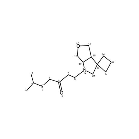 CC(C)SCC(=O)CCN1CC2(CCC2)C2COCC21